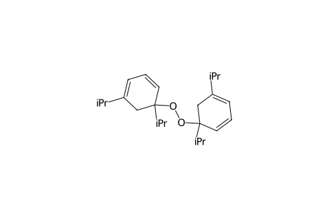 CC(C)C1=CC=CC(OOC2(C(C)C)C=CC=C(C(C)C)C2)(C(C)C)C1